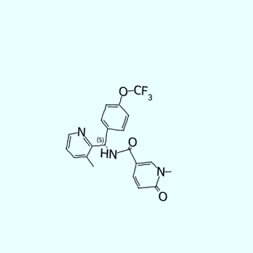 Cc1cccnc1[C@@H](NC(=O)c1ccc(=O)n(C)c1)c1ccc(OC(F)(F)F)cc1